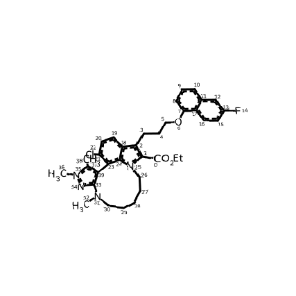 CCOC(=O)c1c(CCCOc2cccc3cc(F)ccc23)c2ccc(Cl)c3c2n1CCCCCN(C)c1nn(C)c(C)c1-3